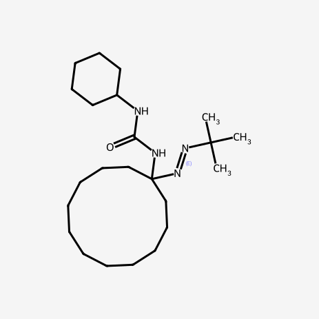 CC(C)(C)/N=N/C1(NC(=O)NC2CCCCC2)CCCCCCCCCCC1